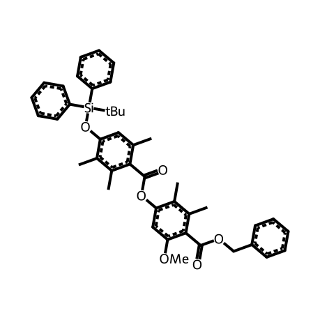 COc1cc(OC(=O)c2c(C)cc(O[Si](c3ccccc3)(c3ccccc3)C(C)(C)C)c(C)c2C)c(C)c(C)c1C(=O)OCc1ccccc1